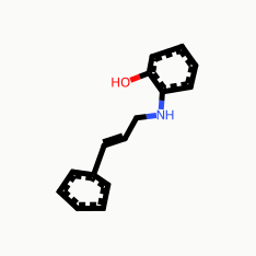 Oc1ccccc1NCC=Cc1ccccc1